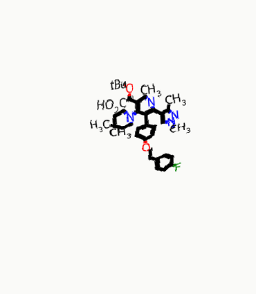 Cc1nn(C)cc1-c1nc(C)c([C@H](OC(C)(C)C)C(=O)O)c(N2CCC(C)(C)CC2)c1-c1ccc(OCCc2ccc(F)cc2)cc1